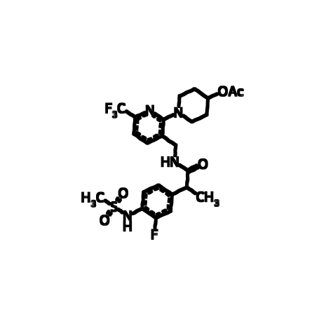 CC(=O)OC1CCN(c2nc(C(F)(F)F)ccc2CNC(=O)C(C)c2ccc(NS(C)(=O)=O)c(F)c2)CC1